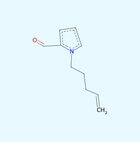 C=CCCCn1cccc1C=O